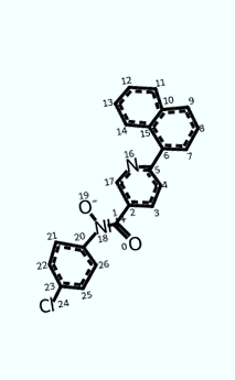 O=C(c1ccc(-c2cccc3ccccc23)nc1)[NH+]([O-])c1ccc(Cl)cc1